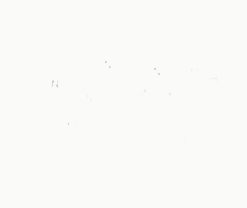 CCCCOC(=O)N(CCOC)Cc1ccc(-c2cc3nccc(Cl)c3s2)nc1